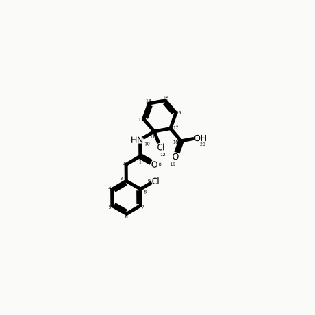 O=C(Cc1ccccc1Cl)NC1(Cl)C=CC=CC1C(=O)O